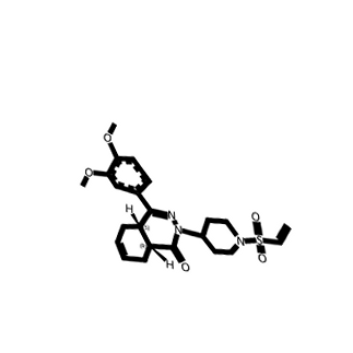 C=CS(=O)(=O)N1CCC(N2N=C(c3ccc(OC)c(OC)c3)[C@H]3CC=CC[C@H]3C2=O)CC1